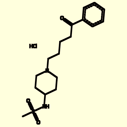 CS(=O)(=O)NC1CCN(CCCCC(=O)c2ccccc2)CC1.Cl